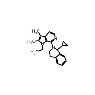 CCn1c(C)c(C)c2ccnc(N3CCc4ccccc4C3C3CC3)c21